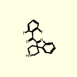 O=C(C1=Nc2ccccc2C12CCNCC2)c1c(F)cccc1F